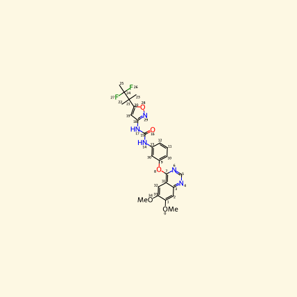 COc1cc2ncnc(Oc3cccc(NC(=O)Nc4cc(C(C)(C)C(C)(F)F)on4)c3)c2cc1OC